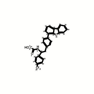 O=C(O)C(=O)NC(Cc1ccc(-c2cccc3c2oc2ccccc23)cc1)c1ccc(C(F)(F)F)cc1